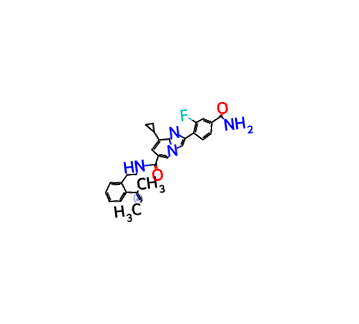 C/C=C(/C)c1ccccc1CCNC(=O)c1cc(C2CC2)c2nc(-c3ccc(C(N)=O)cc3F)cn2c1